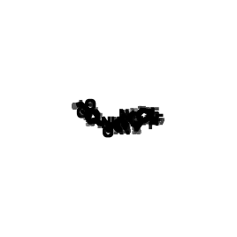 CCS(=O)(=O)c1ccc(CNC(=O)c2cnc3c(c2)nc(C[C@H]2CC[C@H](C(F)(F)F)CC2)n3C2CC2)cc1